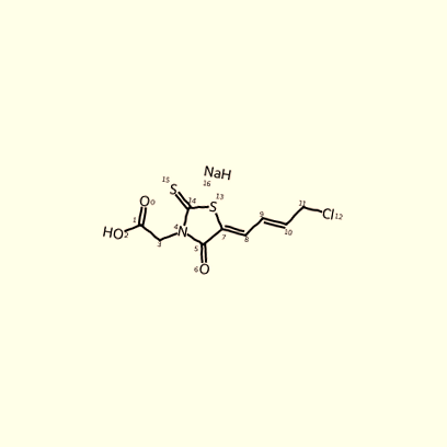 O=C(O)CN1C(=O)C(=CC=CCCl)SC1=S.[NaH]